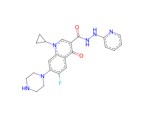 O=C(NNc1ccccn1)c1cn(C2CC2)c2cc(N3CCNCC3)c(F)cc2c1=O